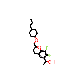 CCCC1CCC(OCC2CCc3cc(C(C)O)c(F)c(F)c3O2)CC1